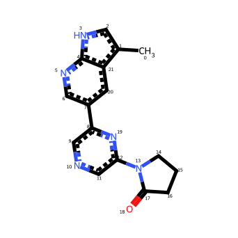 Cc1c[nH]c2ncc(-c3cncc(N4CCCC4=O)n3)cc12